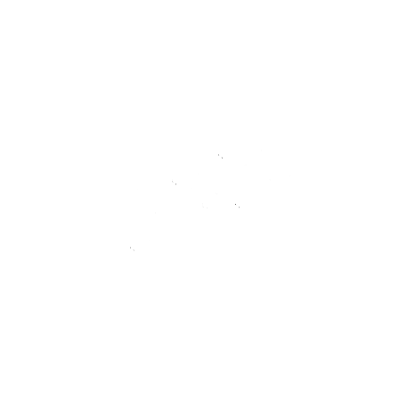 CCN(CC)Sc1ccc(OC)c(-n2cc(C)c(C(C=O)(c3ccc(Cl)cc3NC)N(C=O)c3cc(Cl)ccc3C)c2C(C)C)c1